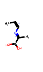 C/C=C\N=C(/C)B(O)O